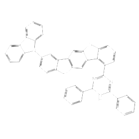 c1ccc(C2=NC(c3cccc4sc5cc6c(cc5c34)sc3ccc(-n4c5ccccc5c5ccccc54)cc36)=NC(c3ccccc3)N2)cc1